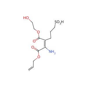 C=CCOC(=O)/C(N)=C(/CCCS(=O)(=O)O)C(=O)OCCO